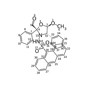 CO[C@@H]1O[C@@](C=O)(c2ccccc2)N(NS(=O)(=O)c2c3ccccc3cc3ccccc23)[C@H]1c1ccccc1